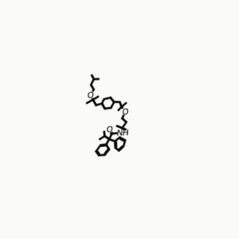 CC(C)CCOC(C)(C)CC1CCC(CC(C)(C)OCCC(C)(C)NC(=O)C(c2ccccc2)(c2ccccc2)C(C)C)CC1